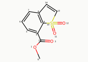 COC(=O)c1cccc2c1S(=O)(=O)C=C2